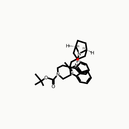 Cc1nc2ccccc2n1[C@@H]1C[C@H]2CC[C@@H](C1)N2CCC1(c2ccccc2)CCN(C(=O)OC(C)(C)C)CC1